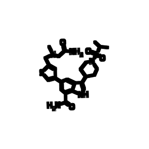 CC(C)S(=O)(=O)N1CCC(c2c[nH]c3c(C(N)=O)cc(-c4csc(CN(C)CC(N)=O)c4)cc23)CC1